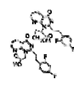 CCC(C(=O)O)n1c(CCc2ccc(F)cc2F)nc(=O)c2cccnc21.O=C(O)Cn1c(CCc2ccc(F)cc2F)nc(=O)c2cccnc21